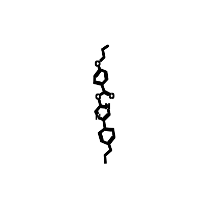 CCCOc1ccc(C(=O)Oc2cnc(-c3ccc(CCC)cc3)cn2)cc1